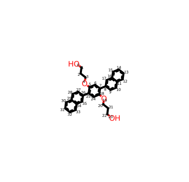 OCCCOc1cc(-c2ccc3ccccc3c2)c(OCCCO)cc1-c1ccc2ccccc2c1